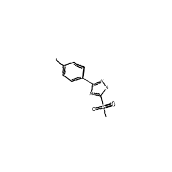 Cc1ccc(-c2nsc(S(C)(=O)=O)n2)cc1